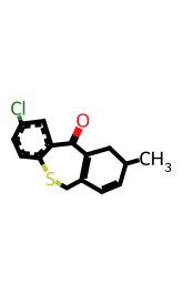 CC1C=CC2=C(C1)C(=O)c1cc(Cl)ccc1SC2